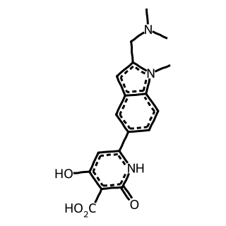 CN(C)Cc1cc2cc(-c3cc(O)c(C(=O)O)c(=O)[nH]3)ccc2n1C